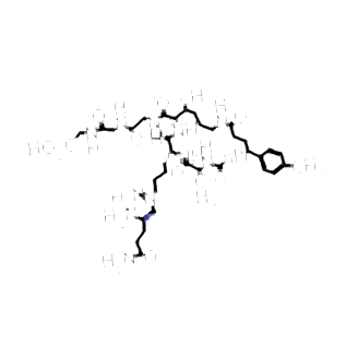 CCCC(=O)N[C@H](C)C(=O)N[C@@H](CCCCN(N)/C=C(\N)CCC(N)=O)C(=O)N[C@H](C(=O)NCC(=O)NCC(=O)NCC(=O)O)C(C)CCCNC(=O)CCCc1ccc(C)cc1